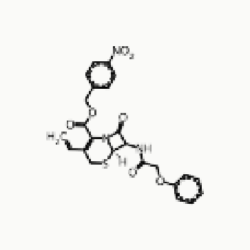 C=CC1=C(C(=O)OCc2ccc([N+](=O)[O-])cc2)N2C(=O)C(NC(=O)COc3ccccc3)[C@H]2SC1